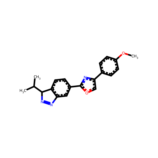 COc1ccc(-c2coc(-c3ccc4c(c3)N=NC4C(C)C)n2)cc1